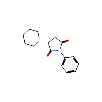 O=C1C[C@@H](N2CCCCC2)C(=O)N1c1ccccc1